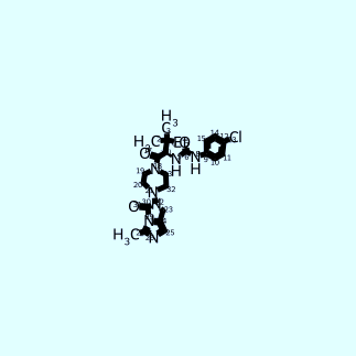 CCC(C)(C)[C@@H](NC(=O)Nc1ccc(Cl)cc1)C(=O)N1CCN(N2Cc3cnc(C)n3C2=O)CC1